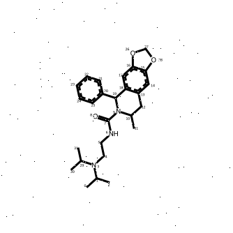 CC(C)N(CCNC(=O)N1C(C)Cc2cc3c(cc2C1c1ccccc1)OCO3)C(C)C